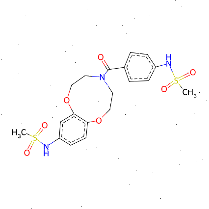 CS(=O)(=O)Nc1ccc(C(=O)N2CCOc3ccc(NS(C)(=O)=O)cc3OCC2)cc1